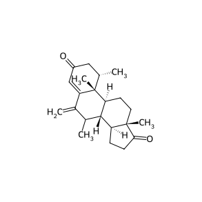 C=C1C2=CC(=O)C[C@H](C)[C@]2(C)[C@H]2CC[C@]3(C)C(=O)CC[C@H]3[C@@H]2C1C